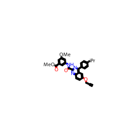 C#CCOc1ccc2nc(C(=O)Nc3cc(OC)cc(C(=O)OC)c3)nc(-c3ccc(C(C)C)cc3)c2c1